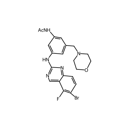 CC(=O)Nc1cc(CN2CCOCC2)cc(Nc2ncc3c(F)c(Br)ccc3n2)c1